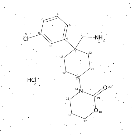 Cl.NCC1(c2cccc(Cl)c2)CCC(N2CCCOC2=O)CC1